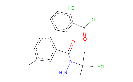 Cc1cccc(C(=O)N(N)C(C)(C)C)c1.Cl.Cl.O=C(Cl)c1ccccc1